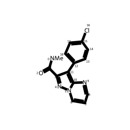 CNC(=O)c1nn2cccnc2c1-c1ccc(Cl)cc1